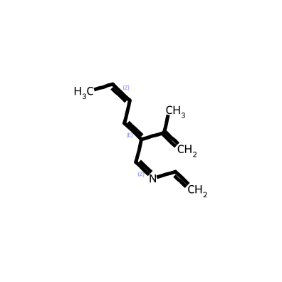 C=C\N=C/C(=C/C=C\C)C(=C)C